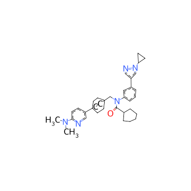 CN(C)c1ccc(C23CCC(CN(C(=O)C4CCCCC4)c4cccc(-c5cnn(C6CC6)c5)c4)(CC2)CC3)cn1